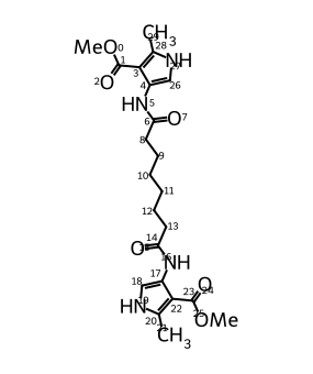 COC(=O)c1c(NC(=O)CCCCCCC(=O)Nc2c[nH]c(C)c2C(=O)OC)c[nH]c1C